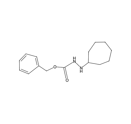 O=C(NNC1CCCCCC1)OCc1ccccc1